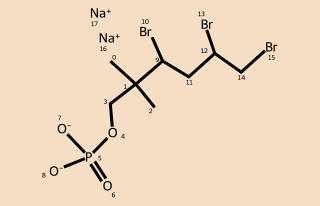 CC(C)(COP(=O)([O-])[O-])C(Br)CC(Br)CBr.[Na+].[Na+]